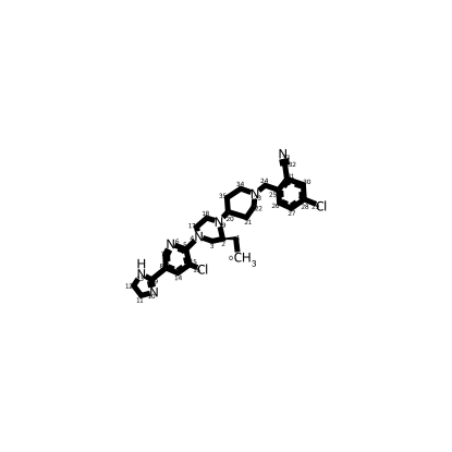 CC[C@H]1CN(c2ncc(C3=NCCN3)cc2Cl)CCN1C1CCN(Cc2ccc(Cl)cc2C#N)CC1